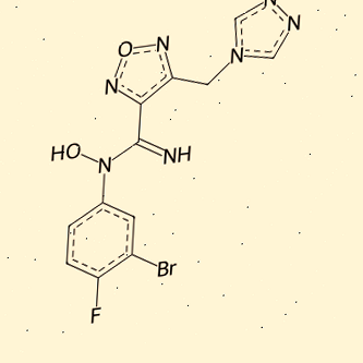 N=C(c1nonc1Cn1cnnc1)N(O)c1ccc(F)c(Br)c1